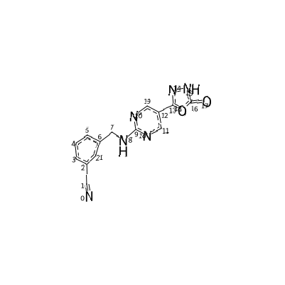 N#Cc1cccc(CNc2ncc(-c3n[nH]c(=O)o3)cn2)c1